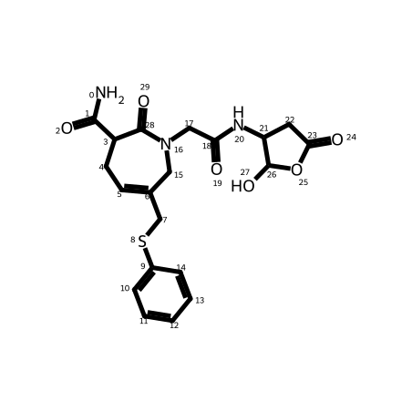 NC(=O)C1CC=C(CSc2ccccc2)CN(CC(=O)NC2CC(=O)OC2O)C1=O